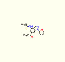 CNC(=S)Nc1cc(C(=O)OC)cc2c1cnn2C1CCCCO1